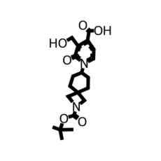 CC(C)(C)OC(=O)N1CC2(CCC(n3ccc(C(=O)O)c(CO)c3=O)CC2)C1